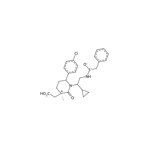 C[C@]1(CC(=O)O)CCC(c2ccc(Cl)cc2)N(C(CN[S+]([O-])Cc2ccccc2)C2CC2)C1=O